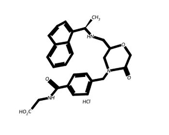 C[C@@H](NCC1CN(Cc2ccc(C(=O)NCC(=O)O)cc2)C(=O)CO1)c1cccc2ccccc12.Cl